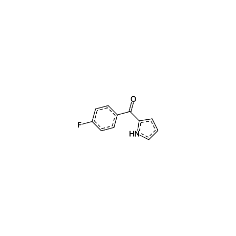 O=C(c1ccc(F)cc1)c1ccc[nH]1